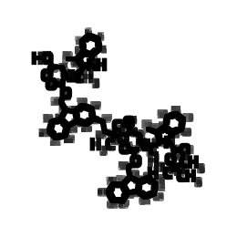 Cc1[nH]c2ccccc2c1C[C@H](NC(=O)OCC1c2ccccc2-c2cc(CCC(C)(C)OC(=O)[C@H](Cc3c(C)n(C(=O)OC(C)(C)C)c4ccccc34)NC(=O)OCC3c4ccccc4-c4ccccc43)ccc21)C(=O)O